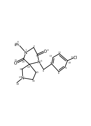 CC(C)N1CC(=O)N(Cc2ccc(Cl)cc2)C2(CCN(C)C2)C1=O